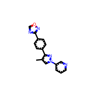 Cc1cn(-c2cccnc2)nc1-c1ccc(-c2ncon2)cc1